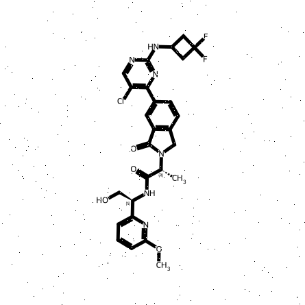 COc1cccc([C@@H](CO)NC(=O)[C@@H](C)N2Cc3ccc(-c4nc(NC5CC(F)(F)C5)ncc4Cl)cc3C2=O)n1